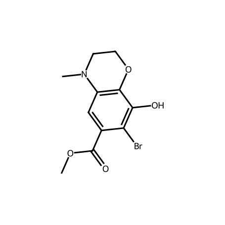 COC(=O)c1cc2c(c(O)c1Br)OCCN2C